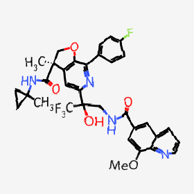 COc1cc(C(=O)NCC(O)(c2cc3c(c(-c4ccc(F)cc4)n2)OC[C@]3(C)C(=O)NC2(C)CC2)C(F)(F)F)cc2cccnc12